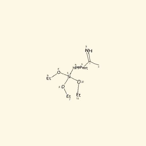 CCCCCC(C)=N.CCC[Si](OCC)(OCC)OCC